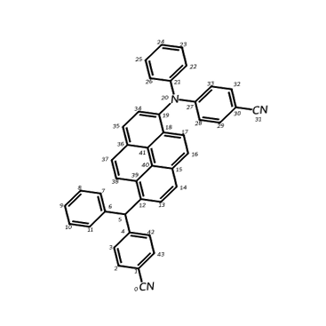 N#Cc1ccc(C(c2ccccc2)c2ccc3ccc4c(N(c5ccccc5)c5ccc(C#N)cc5)ccc5ccc2c3c54)cc1